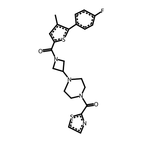 Cc1cc(C(=O)N2CC(N3CCN(C(=O)c4nccs4)CC3)C2)sc1-c1ccc(F)cc1